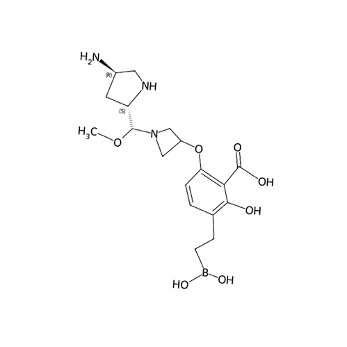 COC([C@@H]1C[C@@H](N)CN1)N1CC(Oc2ccc(CCB(O)O)c(O)c2C(=O)O)C1